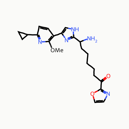 COc1nc(C2CC2)ccc1-c1c[nH]c(C(N)CCCCCC(=O)c2ncco2)n1